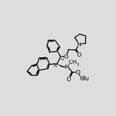 CN(C[C@@H](c1ccc2ccccc2c1)[C@H](OCC(=O)N1CCCC1)c1ccccc1)C(=O)OC(C)(C)C